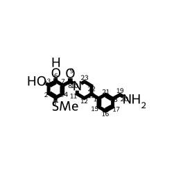 CSc1cc(O)c(O)c(C(=O)N2CCC(c3cccc(CN)c3)CC2)c1